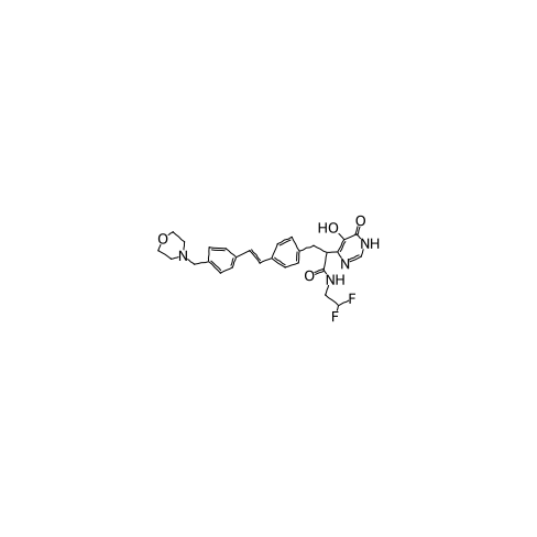 O=C(NCC(F)F)C(Cc1ccc(/C=C/c2ccc(CN3CCOCC3)cc2)cc1)c1nc[nH]c(=O)c1O